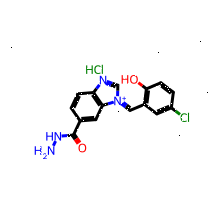 Cl.NNC(=O)c1ccc2c(c1)[N+](=Cc1cc(Cl)ccc1O)C=N2